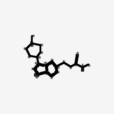 CNC(=O)CCc1ccc2[nH]cc(C3CCN(C)CC3)c2c1